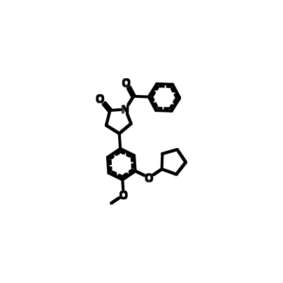 COc1ccc(C2CC(=O)N(C(=O)c3ccccc3)C2)cc1OC1CCCC1